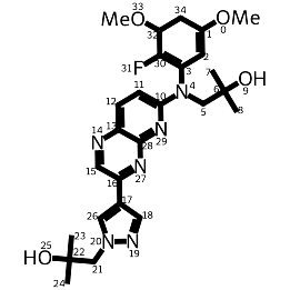 COC1=CC(N(CC(C)(C)O)c2ccc3ncc(-c4cnn(CC(C)(C)O)c4)nc3n2)=C(F)C(OC)C1